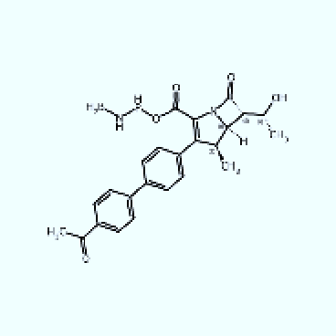 BNPOC(=O)C1=C(c2ccc(-c3ccc(C(C)=O)cc3)cc2)[C@H](C)[C@@H]2[C@@H]([C@@H](C)O)C(=O)N12